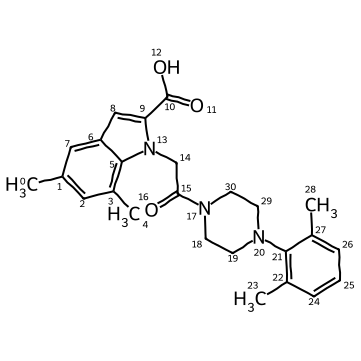 Cc1cc(C)c2c(c1)cc(C(=O)O)n2CC(=O)N1CCN(c2c(C)cccc2C)CC1